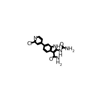 NC(=O)Nc1[nH]c2cc(-c3ccnc(Cl)c3)ccc2c1C(N)=O